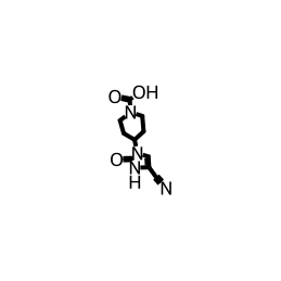 N#Cc1cn(C2CCN(C(=O)O)CC2)c(=O)[nH]1